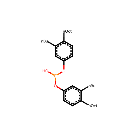 CCCCCCCCc1ccc(OP(O)Oc2ccc(CCCCCCCC)c(CCCC)c2)cc1CCCC